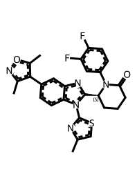 Cc1csc(-n2c([C@@H]3CCCC(=O)N3c3ccc(F)c(F)c3)nc3cc(-c4c(C)noc4C)ccc32)n1